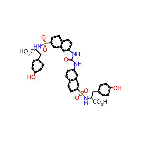 O=C(Nc1ccc2ccc(S(=O)(=O)N[C@@H](Cc3ccc(O)cc3)C(=O)O)cc2c1)Nc1ccc2ccc(S(=O)(=O)N[C@@H](Cc3ccc(O)cc3)C(=O)O)cc2c1